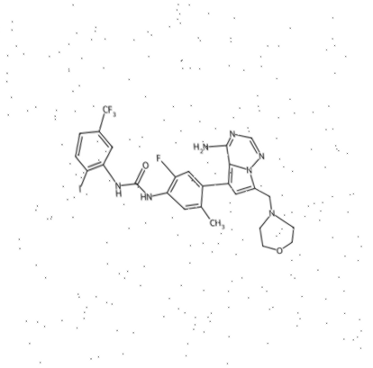 Cc1cc(NC(=O)Nc2cc(C(F)(F)F)ccc2I)c(F)cc1-c1cc(CN2CCOCC2)n2ncnc(N)c12